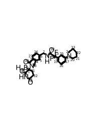 B[C@@]1(N2Cc3cc(CNC(=O)C(F)(F)c4cccc(N5CCCCC5)c4)ccc3C2=O)CCC(=O)NC1=O